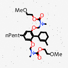 CCCCCc1cc(OCN(C)C(=O)OCCOC)c(C2C=C(C)CCC2)c(OCN(C)C(=O)OCCOC)c1